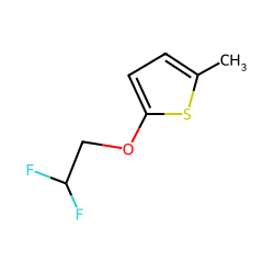 Cc1ccc(OCC(F)F)s1